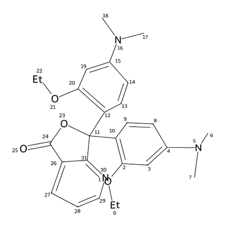 CCOc1cc(N(C)C)ccc1C1(c2ccc(N(C)C)cc2OCC)OC(=O)c2cccnc21